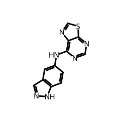 c1nc(Nc2ccc3[nH]ncc3c2)c2ncsc2n1